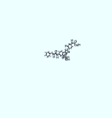 CC(C)OC(=O)Nc1ccc(-c2ncc(-c3ccc(NC(=O)NCc4ccccc4)cc3S(=O)(=O)NC(C)(C)C)s2)c(F)c1